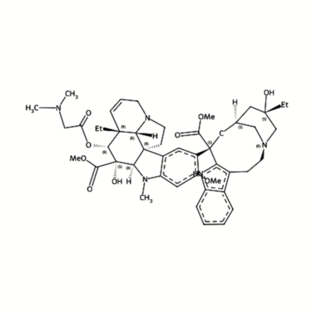 CC[C@]1(O)C[C@H]2C[N@](CCc3c([nH]c4ccccc34)[C@@](C(=O)OC)(c3cc4c(cc3OC)N(C)[C@H]3[C@@](O)(C(=O)OC)[C@H](OC(=O)CN(C)C)[C@]5(CC)C=CCN6CC[C@]43[C@@H]65)C2)C1